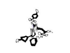 CC(CCN/C(=N\S(=O)(=O)c1ccc(Cl)cc1)N1C[C@H](c2ccccc2)C(c2ccc(Cl)cc2)=N1)S(N)(=O)=O